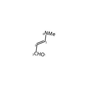 CNC=C[C]=O